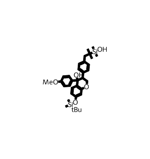 COc1ccc(C2(O)c3ccc(O[Si](C)(C)C(C)(C)C)cc3OCC2c2ccc(CC(C)(C)[Si](C)(C)O)cc2)cc1